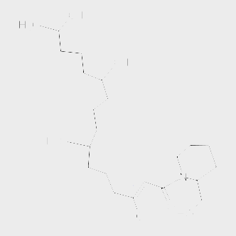 C/C(=C\C(=O)N1CCCCC1CO)CCCC(C)CCCC(C)CCCC(C)C